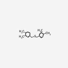 Cc1ccc(CSCc2ccc(C)c(C)c2)cc1C